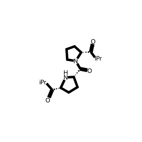 CC(C)C(=O)[C@H]1CCCN1C(=O)[C@@H]1CC[C@H](C(=O)C(C)C)N1